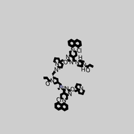 C=CC(=O)N1CC(/C=[N+](\C)c2nc(OCC34CCCN3CCC4)nc3c2CCN(c2cccc4cccc(Cl)c24)C3)C[C@H]1CC#[N+]C1CCC2(COc3nc4c(c(N5C[C@@H]6C[C@H]5CN6C(=O)C=C)n3)CCN(c3cccc5cccc(Cl)c35)C4)CCCN12